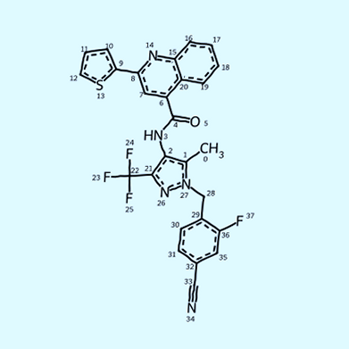 Cc1c(NC(=O)c2cc(-c3cccs3)nc3ccccc23)c(C(F)(F)F)nn1Cc1ccc(C#N)cc1F